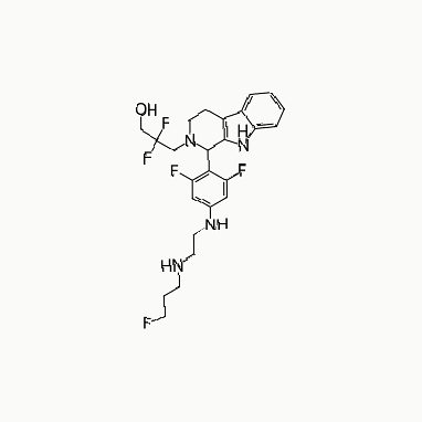 OCC(F)(F)CN1CCc2c([nH]c3ccccc23)C1c1c(F)cc(NCCNCCCF)cc1F